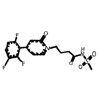 CS(=O)(=O)NC(=O)CCCn1ccc(-c2c(F)ccc(F)c2F)cc1=O